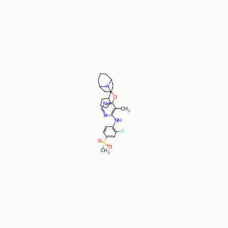 Cc1c(Nc2ccc(S(C)(=O)=O)cc2F)ncnc1OC1CC2CCCC(C1)N2CC1CCCC1